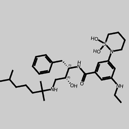 CCNc1cc(C(=O)N[C@@H](Cc2ccccc2)[C@H](O)CNC(C)(C)CCCC(C)C)cc(N2CCCCS2(O)O)c1